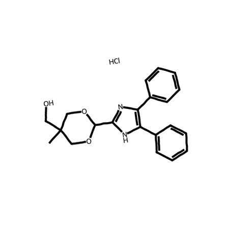 CC1(CO)COC(c2nc(-c3ccccc3)c(-c3ccccc3)[nH]2)OC1.Cl